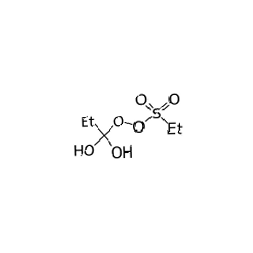 CCC(O)(O)OOS(=O)(=O)CC